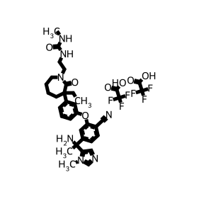 CCC1(c2cccc(Oc3cc(C(C)(N)c4cncn4C)ccc3C#N)c2)CCCCN(CCNC(=O)NC)C1=O.O=C(O)C(F)(F)F.O=C(O)C(F)(F)F